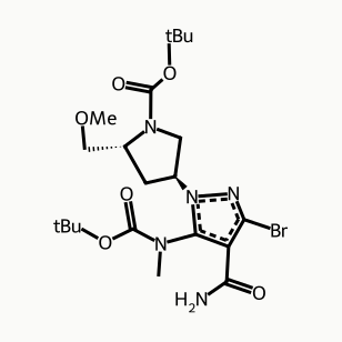 COC[C@H]1C[C@H](n2nc(Br)c(C(N)=O)c2N(C)C(=O)OC(C)(C)C)CN1C(=O)OC(C)(C)C